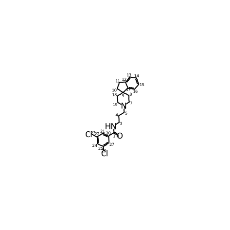 O=C(NCCCN1CCC2(CCc3ccccc32)CC1)c1cc(Cl)cc(Cl)c1